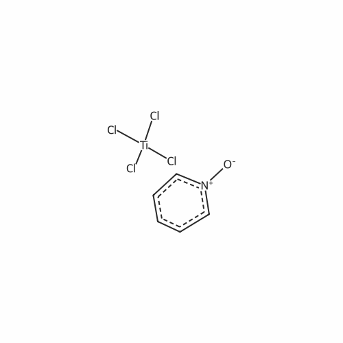 [Cl][Ti]([Cl])([Cl])[Cl].[O-][n+]1ccccc1